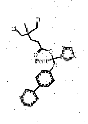 CCCC(C)C(OC(=O)CCC(C)(CCl)CCl)(Oc1ccc(-c2ccccc2)cc1)n1cncn1